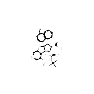 COc1cncc2c1[C@]1(O)[C@@H](C(=O)NC(C)(C)C)[C@H](C(=O)O)[C@@H](c3ccccc3)[C@]1(c1ccc(Br)cc1)O2